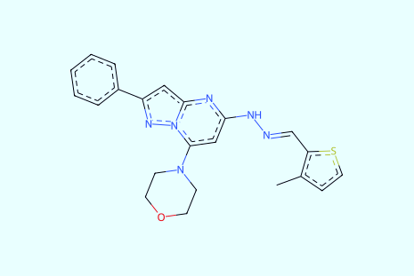 Cc1ccsc1C=NNc1cc(N2CCOCC2)n2nc(-c3ccccc3)cc2n1